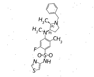 Cc1cc(S(=O)(=O)Nc2cscn2)c(F)cc1N(C)[C@@H]1CCN(Cc2ccccc2)[C@@H]1C